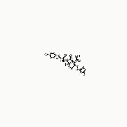 Cc1nnc(SCC2=C(C(=O)O)N3C(=O)C(NC(=O)NCc4ccc(Cl)cc4)[C@@H]3SC2)s1